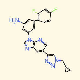 Nc1cc(-c2ccc(F)cc2F)cc(-n2cnc3cc(-c4cn(CC5CC5)nn4)cnc32)c1